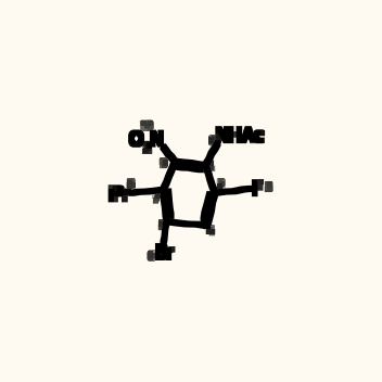 CC(=O)Nc1c(F)cc(Br)c(C(C)C)c1[N+](=O)[O-]